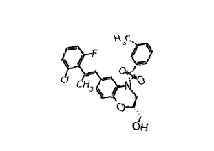 C/C(=C\c1ccc2c(c1)N(S(=O)(=O)c1cccc(C)c1)C[C@H](CO)O2)c1c(F)cccc1Cl